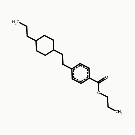 CCCOC(=O)c1ccc(CCC2CCC(CCC)CC2)cc1